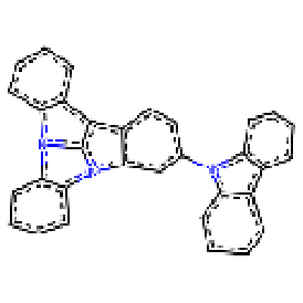 c1ccc2c(c1)c1ccccc1n2-c1ccc2c3c4ccccc4n4c5ccccc5n(c2c1)c34